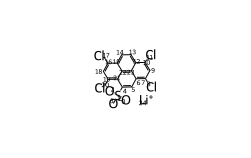 O=S(=O)([O-])c1cc2c(Cl)cc(Cl)c3ccc4c(Cl)cc(Cl)c1c4c32.[Li+]